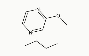 CCCC.COc1cnccn1